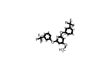 COc1cc(Oc2cccc(C(F)(F)F)c2)nc(Oc2cccc(C(F)(F)F)c2)c1